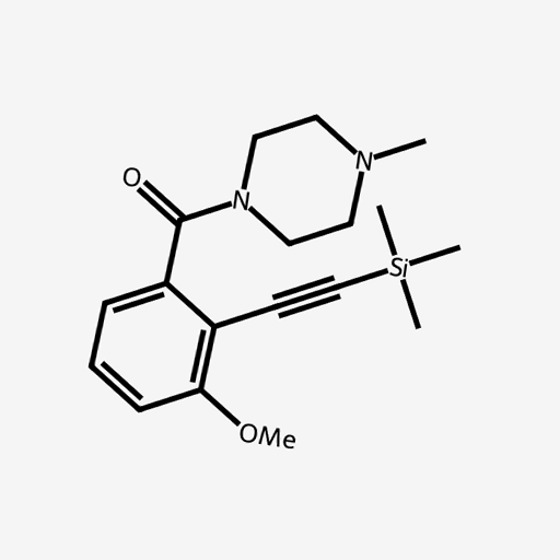 COc1cccc(C(=O)N2CCN(C)CC2)c1C#C[Si](C)(C)C